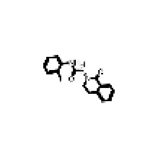 O=C(BN1CCc2ccccc2C1=O)Nc1ccccc1I